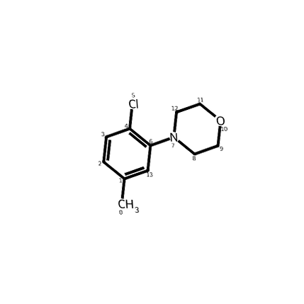 Cc1ccc(Cl)c(N2CCOCC2)c1